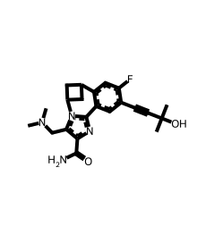 CN(C)Cc1c(C(N)=O)nc2n1C1CC(C1)c1cc(F)c(C#CC(C)(C)O)cc1-2